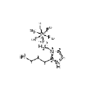 CC(C)CCCc1[nH]cc[n+]1C.F[P-](F)(F)(F)(F)F